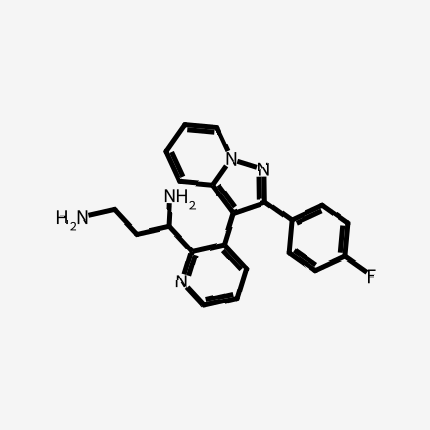 NCCC(N)c1ncccc1-c1c(-c2ccc(F)cc2)nn2ccccc12